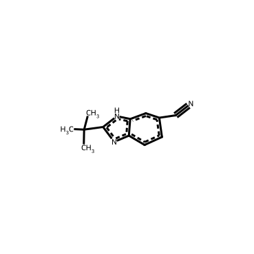 CC(C)(C)c1nc2ccc(C#N)cc2[nH]1